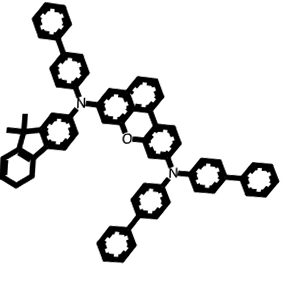 CC1(C)C2=C(CCC=C2)c2ccc(N(c3ccc(-c4ccccc4)cc3)c3cc4c5c(cccc5c3)-c3ccc(N(c5ccc(-c6ccccc6)cc5)c5ccc(-c6ccccc6)cc5)cc3O4)cc21